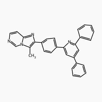 Cc1c(-c2ccc(-c3cc(-c4ccccc4)cc(-c4ccccc4)n3)cc2)nc2ccncn12